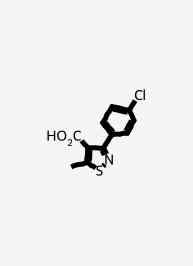 Cc1snc(-c2ccc(Cl)cc2)c1C(=O)O